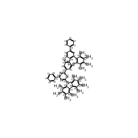 Bc1c(B)c(B)c(-c2cc(-c3ccccc3)cc3oc4cc(-c5nc(-c6ccccc6)nc(-n6c7c(B)c(B)c(B)c(B)c7c7c(B)c(B)c(B)c(B)c76)n5)ccc4c23)c(B)c1B